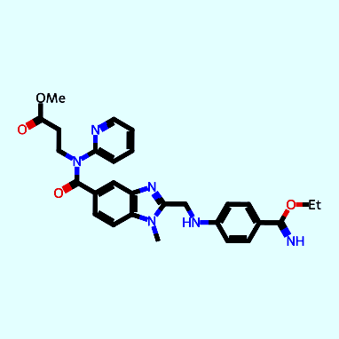 CCOC(=N)c1ccc(NCc2nc3cc(C(=O)N(CCC(=O)OC)c4ccccn4)ccc3n2C)cc1